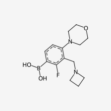 OB(O)c1ccc(N2CCOCC2)c(CN2CCC2)c1F